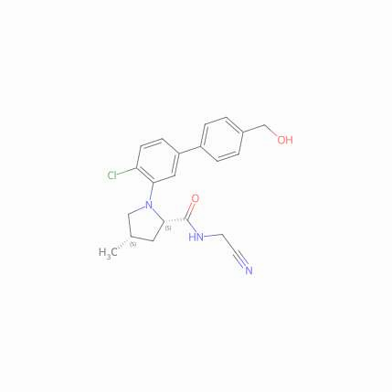 C[C@H]1C[C@@H](C(=O)NCC#N)N(c2cc(-c3ccc(CO)cc3)ccc2Cl)C1